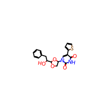 O=c1[nH]c(=O)n(C2COC(C(O)Cc3ccccc3)O2)cc1-c1cccs1